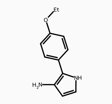 CCOc1ccc(-c2[nH]ccc2N)cc1